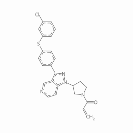 C=CC(=O)N1CCC(n2nc(-c3ccc(Sc4cccc(Cl)c4)cc3)c3cnccc32)C1